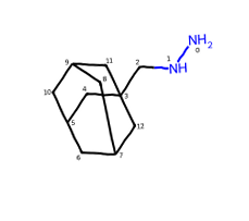 NNCC12CC3CC(CC(C3)C1)C2